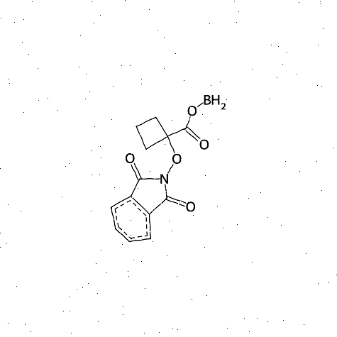 BOC(=O)C1(ON2C(=O)c3ccccc3C2=O)CCC1